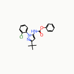 CC(C)(C)c1cc(NC(=O)Oc2ccccc2)n(-c2ccccc2Cl)n1